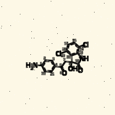 Nc1ccc(C(=O)CC2(O)C(=O)Nc3c(Cl)ccc(Cl)c32)cc1